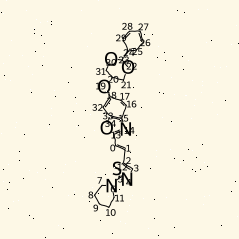 C(=C\c1cnc(N2CCCCC2)s1)/c1nc2ccc(O[C@H]3CO[C@H](c4ccccc4)OC3)cc2o1